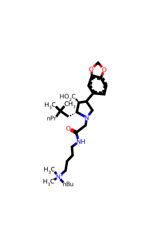 CCCC[N+](C)(C)CCCCNC(=O)CN1CC(c2ccc3c(c2)OCO3)[C@H](C(=O)O)[C@H]1CC(C)(C)CCC